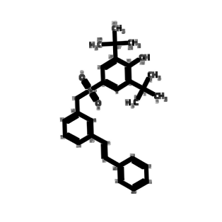 CC(C)(C)c1cc(S(=O)(=O)Cc2cccc(/C=C/c3ccccc3)c2)cc(C(C)(C)C)c1O